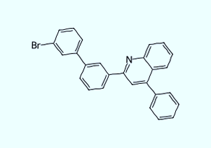 Brc1cccc(-c2cccc(-c3cc(-c4ccccc4)c4ccccc4n3)c2)c1